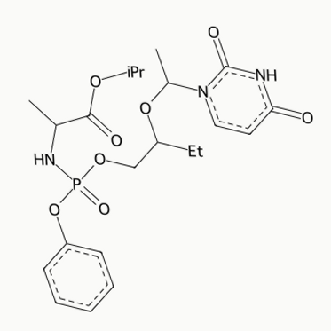 CCC(COP(=O)(NC(C)C(=O)OC(C)C)Oc1ccccc1)OC(C)n1ccc(=O)[nH]c1=O